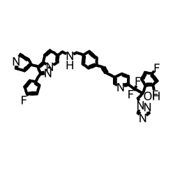 OC(Cn1cncn1)(c1ccc(F)cc1F)C(F)(F)c1ccc(C#Cc2ccc(CNCc3ccc4c(-c5ccncc5)c(-c5ccc(F)cc5)nn4c3)cc2)cn1